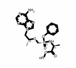 CCCOC(=O)[C@H](C)N[P@](=O)(CO[C@H](C)Cn1cnc2c(N)ncnc21)Oc1ccccc1